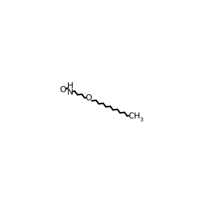 CCCCCCCCCCCCOCCCCNC=O